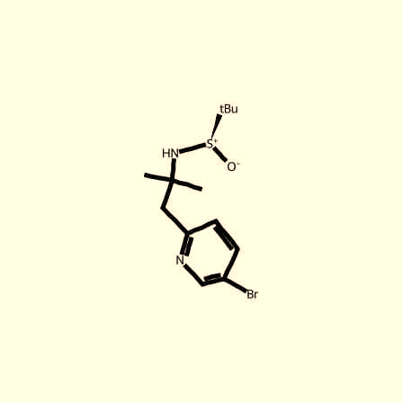 CC(C)(Cc1ccc(Br)cn1)N[S@+]([O-])C(C)(C)C